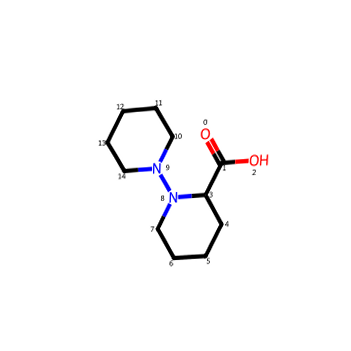 O=C(O)C1CCCCN1N1CCCCC1